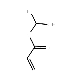 C=CC(=O)OC(O)O